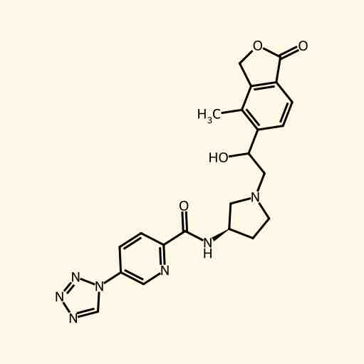 Cc1c(C(O)CN2CC[C@@H](NC(=O)c3ccc(-n4cnnn4)cn3)C2)ccc2c1COC2=O